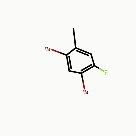 Cc1cc(F)c(Br)cc1Br